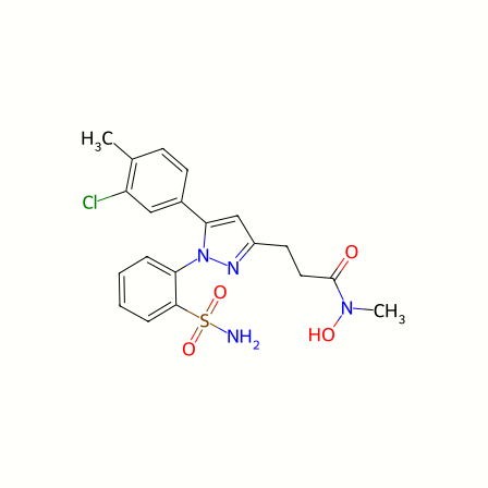 Cc1ccc(-c2cc(CCC(=O)N(C)O)nn2-c2ccccc2S(N)(=O)=O)cc1Cl